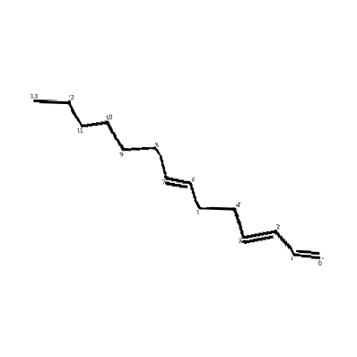 [CH]=CC=CCCC=CCCCCCC